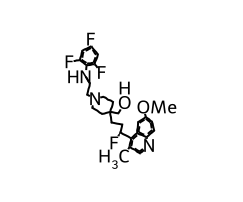 COc1ccc2ncc(C)c([C@@H](F)CCC3(CO)CCN(CCNc4c(F)cc(F)cc4F)CC3)c2c1